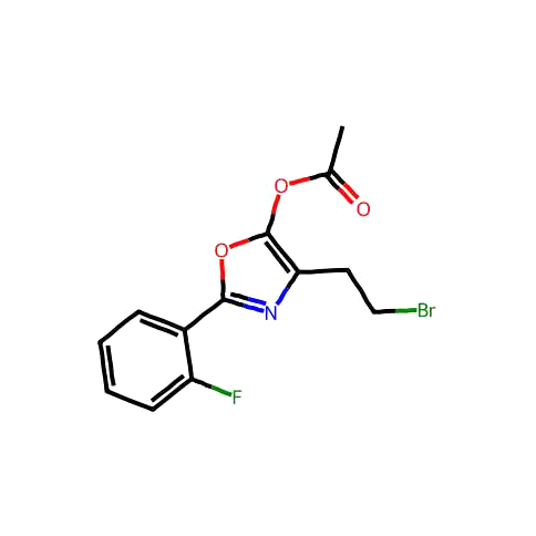 CC(=O)Oc1oc(-c2ccccc2F)nc1CCBr